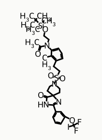 CC(=O)N(CCO[Si](C)(C)C(C)(C)C)c1cccc(CCS(=O)(=O)N2CCC3(CC2)N=C(c2cccc(OC(F)(F)I)c2)NC3=O)c1C